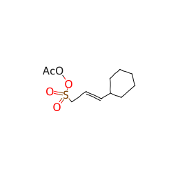 CC(=O)OOS(=O)(=O)CC=CC1CCCCC1